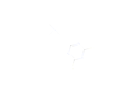 CCCC[N+](CCCC)(CCCC)CCCC.Sc1nc(S)nc(S)n1